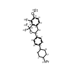 CCCC1CCC(c2ccc(C3Cc4ccc(OCC)c(F)c4C(F)(F)O3)cc2)CC1